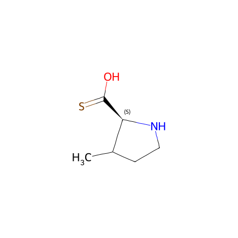 CC1CCN[C@@H]1C(O)=S